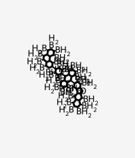 Bc1c(B)c(-c2c3c(B)c(B)c(B)c(B)c3c(-c3c(B)c(B)c4oc5c(B)c6c(B)c(B)c(B)c(B)c6c(B)c5c4c3B)c3c(B)c(B)c(B)c(B)c23)c(B)c(B)c1-c1c(B)c(B)c2c(B)c(B)c3c(B)c(B)c(B)c(B)c3c2c1B